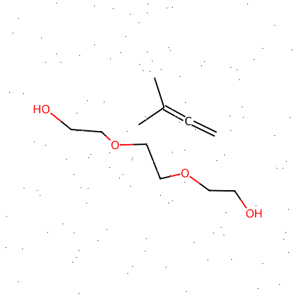 C=C=C(C)C.OCCOCCOCCO